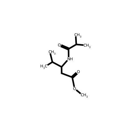 COC(=O)CC(NC(=O)C(C)C)C(C)C